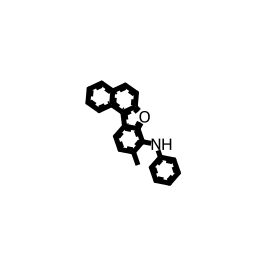 Cc1ccc2c(oc3ccc4ccccc4c32)c1Nc1ccccc1